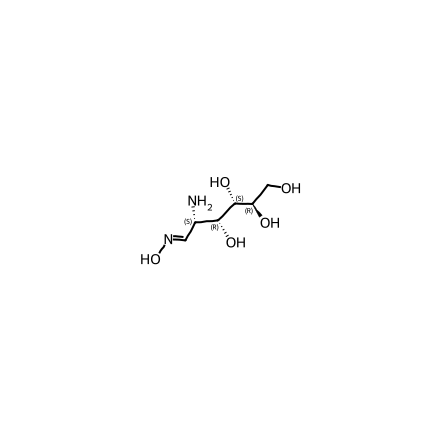 N[C@@H](C=NO)[C@@H](O)[C@H](O)[C@H](O)CO